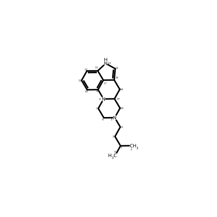 CC(C)CCN1CCN2c3cccc4[nH]cc(c34)CC2C1